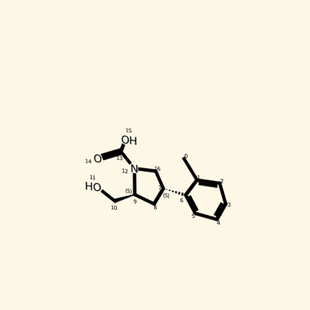 Cc1ccccc1[C@@H]1C[C@@H](CO)N(C(=O)O)C1